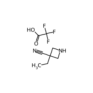 CCC1(C#N)CNC1.O=C(O)C(F)(F)F